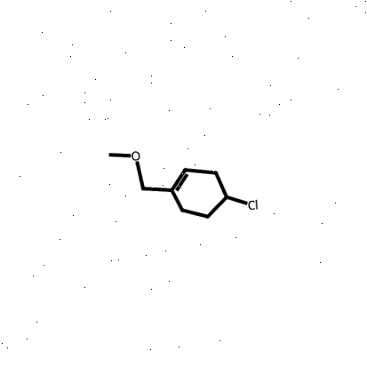 COCC1=CCC(Cl)CC1